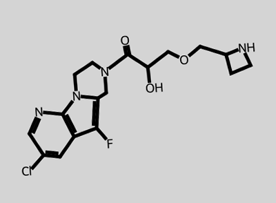 O=C(C(O)COCC1CCN1)N1CCn2c(c(F)c3cc(Cl)cnc32)C1